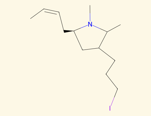 C/C=C\C[C@@H]1CC(CCCI)C(C)N1C